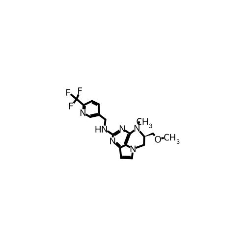 COC[C@H]1Cn2ccc3nc(NCc4ccc(C(F)(F)F)nc4)nc(c32)N1C